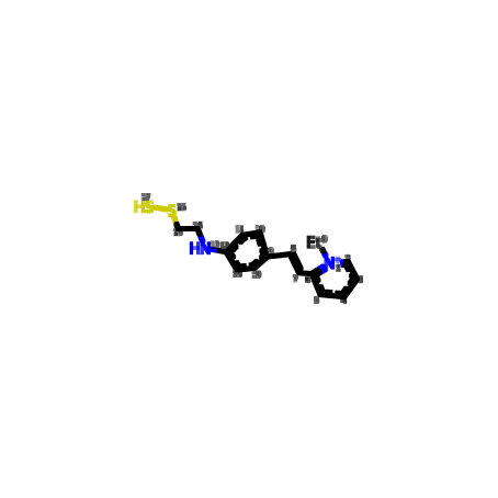 CC[n+]1ccccc1/C=C/c1ccc(NCCSS)cc1